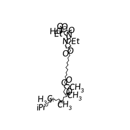 CCc1c2c(nc3ccc(OC(=O)CCCCCCCCCCC(=O)Oc4cc(C)c5c(c4)CC[C@@](C)(CCC[C@H](C)CCC[C@H](C)CCCC(C)C)O5)cc13)-c1cc3c(c(=O)n1C2)COC(=O)[C@]3(O)CC